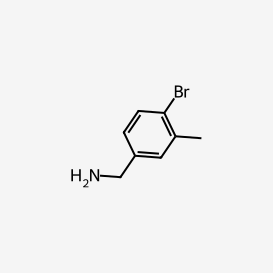 Cc1cc(CN)ccc1Br